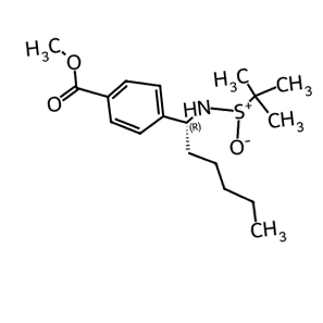 CCCCC[C@@H](N[S+]([O-])C(C)(C)C)c1ccc(C(=O)OC)cc1